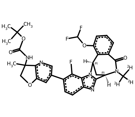 [2H]C([2H])([2H])N1C(=O)c2cccc(OC(F)F)c2[C@H]2C[C@@H]1c1nc3ccc(-c4cnc5c(c4)OCC5(C)NC(=O)OC(C)(C)C)c(F)c3n12